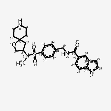 CN(C1COC2(CCNCC2)C1)S(=O)(=O)c1ccc(CNC(=O)c2ccc3nccn3c2)cc1